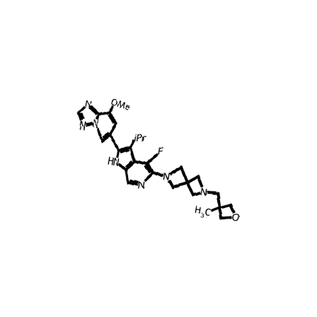 COc1cc(-c2[nH]c3cnc(N4CC5(CN(CC6(C)COC6)C5)C4)c(F)c3c2C(C)C)cn2ncnc12